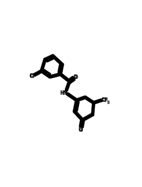 O=C1C=C(NC(=O)c2cccc(Cl)c2)CC(C(F)(F)F)C1